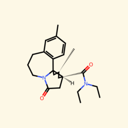 CCN(CC)C(=O)[C@@H]1[C@@H](C)CC23c4ccc(C)cc4CCCN2C(=O)C[C@@H]13